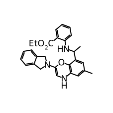 CCOC(=O)c1ccccc1NC(C)c1cc(C)cc2c1OC(N1Cc3ccccc3C1)=CN2